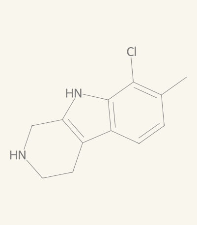 Cc1ccc2c3c([nH]c2c1Cl)CNCC3